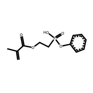 C=C(C)C(=O)OCCP(=O)(O)Oc1ccccc1